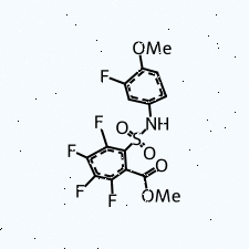 COC(=O)c1c(F)c(F)c(F)c(F)c1S(=O)(=O)Nc1ccc(OC)c(F)c1